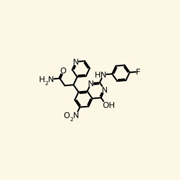 NC(=O)CC(c1cccnc1)c1cc([N+](=O)[O-])cc2c(O)nc(Nc3ccc(F)cc3)nc12